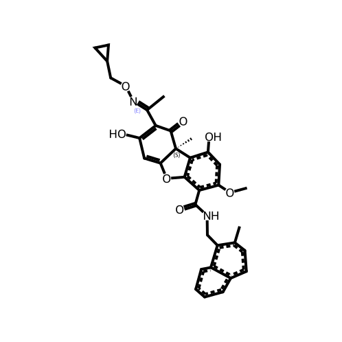 COc1cc(O)c2c(c1C(=O)NCc1c(C)ccc3ccccc13)OC1=CC(O)=C(/C(C)=N/OCC3CC3)C(=O)[C@]12C